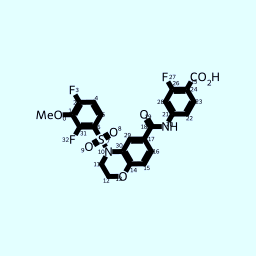 COc1c(F)ccc(S(=O)(=O)N2CCOc3ccc(C(=O)Nc4ccc(C(=O)O)c(F)c4)cc32)c1F